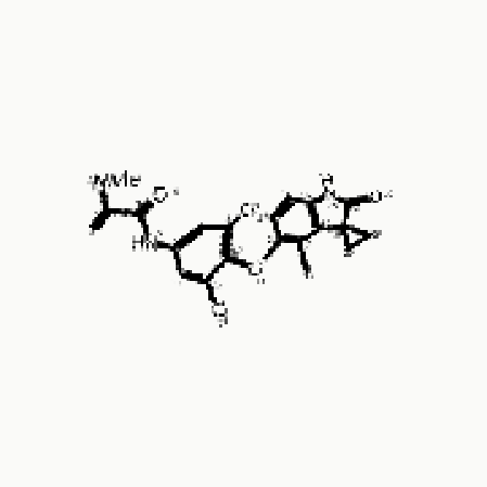 C=C(NC)C(=O)Nc1cc(Cl)c(Oc2ccc3c(c2C)C2(CC2)C(=O)N3)c(Cl)c1